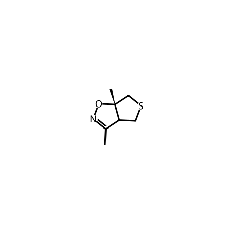 CC1=NO[C@]2(C)CSCC12